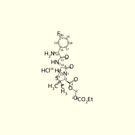 CCOC(=O)OCOC(=O)[C@@H]1N2C(=O)[C@@H](NC(=O)C(N)c3cccc(F)c3)[C@H]2SC1(C)C.Cl